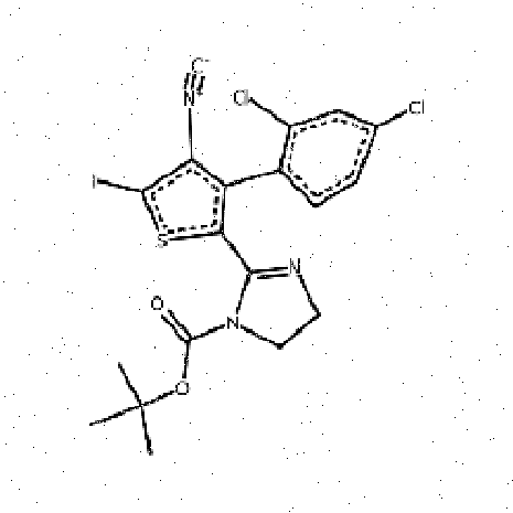 [C-]#[N+]c1c(I)sc(C2=NCCN2C(=O)OC(C)(C)C)c1-c1ccc(Cl)cc1Cl